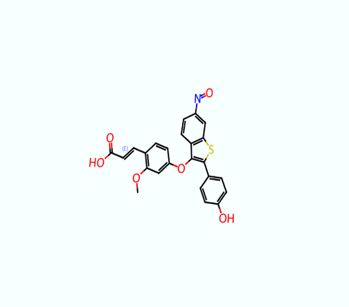 COc1cc(Oc2c(-c3ccc(O)cc3)sc3cc(N=O)ccc23)ccc1/C=C/C(=O)O